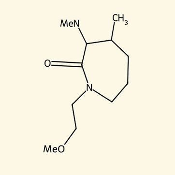 CNC1C(=O)N(CCOC)CCCC1C